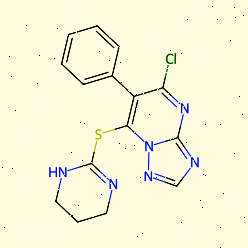 Clc1nc2ncnn2c(SC2=NCCCN2)c1-c1ccccc1